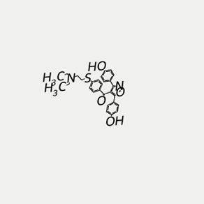 CCN(CC)CCSc1ccc(C(=O)c2c(-c3ccc(O)cc3)noc2-c2ccc(O)cc2)cc1